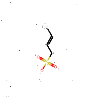 [O]S(=O)(=O)CC=CC(F)(F)F